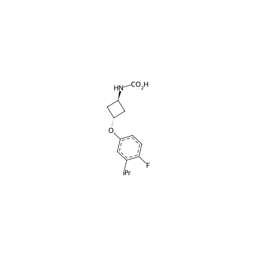 CC(C)c1cc(O[C@H]2C[C@H](NC(=O)O)C2)ccc1F